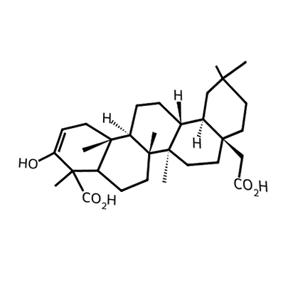 CC1(C)CC[C@]2(CC(=O)O)CC[C@]3(C)[C@H](CC[C@@H]4[C@@]5(C)CC=C(O)C(C)(C(=O)O)C5CC[C@]43C)[C@H]2C1